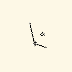 CCCCCCCCCCCCCCCCC=COS(=O)(=O)C(F)CCCCCCCCCC.CC[N+](CC)(CC)CC